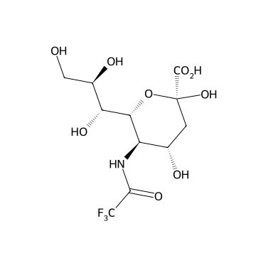 O=C(N[C@H]1[C@H]([C@H](O)[C@H](O)CO)O[C@](O)(C(=O)O)C[C@@H]1O)C(F)(F)F